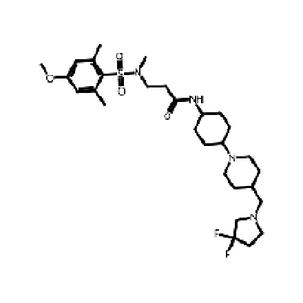 COc1cc(C)c(S(=O)(=O)N(C)CCC(=O)NC2CCC(N3CCC(CN4CCC(F)(F)C4)CC3)CC2)c(C)c1